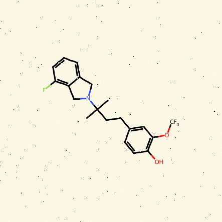 CC(C)(CCc1ccc(O)c(OC(F)(F)F)c1)N1Cc2cccc(F)c2C1